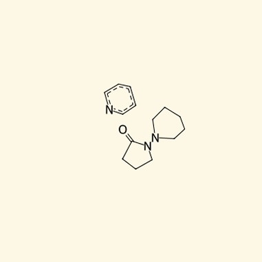 O=C1CCCN1N1CCCCC1.c1ccncc1